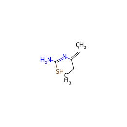 C/C=C(CC)\N=C(\N)S